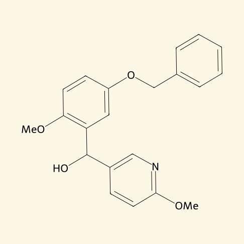 COc1ccc(C(O)c2cc(OCc3ccccc3)ccc2OC)cn1